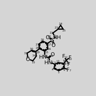 O=C(Nc1ccc(F)c(C(F)(F)F)c1)Nc1cc(S(=O)(=O)NCC2CC2)ccc1C1=CCOCC1